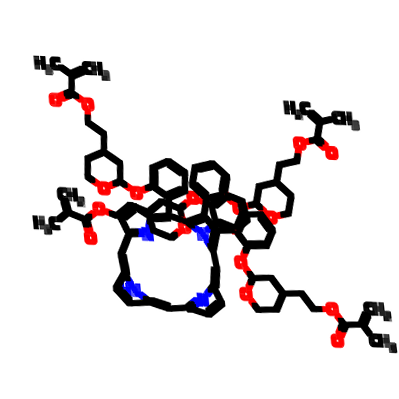 C=C(C)C(=O)OCCC1CCOC(Oc2ccccc2-c2c(-c3ccccc3OC3CC(CCOC(=O)C(=C)C)CCO3)c3c(-c4ccccc4OC4CC(CCOC(=O)C(=C)C)CCO4)c4nc(cc5ccc(cc6nc(cc2n3-c2ccccc2OC2CC(CCOC(=O)C(=C)C)CCO2)C=C6)[nH]5)C=C4)C1